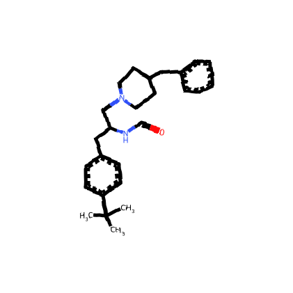 CC(C)(C)c1ccc(CC(CN2CCC(Cc3ccccc3)CC2)NC=O)cc1